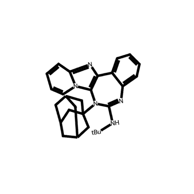 CC(C)(C)NC1=Nc2ccccc2-c2nc3ccccn3c2N1C12CC3CC(CC(C3)C1)C2